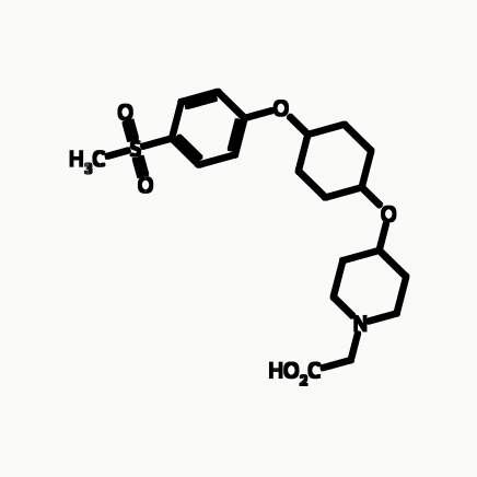 CS(=O)(=O)c1ccc(OC2CCC(OC3CCN(CC(=O)O)CC3)CC2)cc1